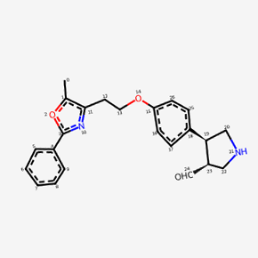 Cc1oc(-c2ccccc2)nc1CCOc1ccc([C@H]2CNC[C@H]2C=O)cc1